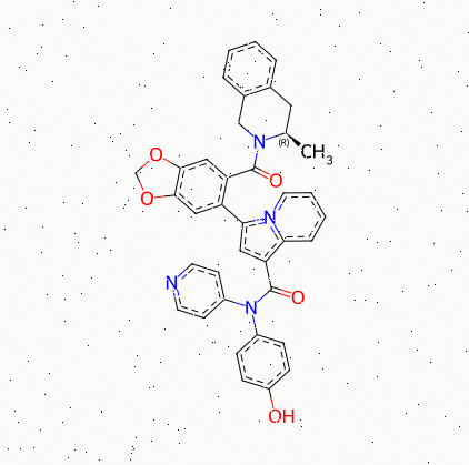 C[C@@H]1Cc2ccccc2CN1C(=O)c1cc2c(cc1-c1cc(C(=O)N(c3ccncc3)c3ccc(O)cc3)c3ccccn13)OCO2